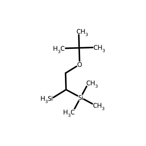 CC(C)(C)OCC([SiH3])[Si](C)(C)C